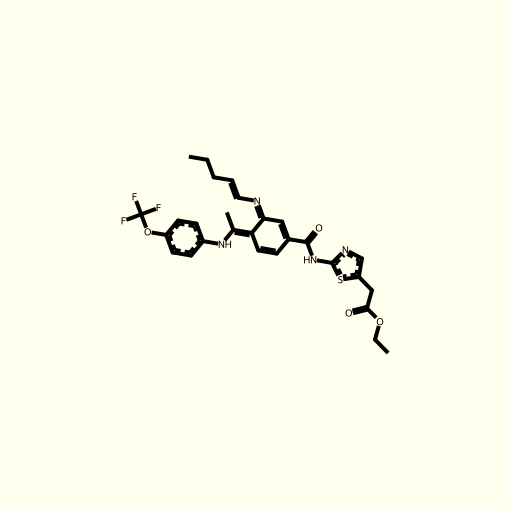 CCCC=C/N=C1/C=C(C(=O)Nc2ncc(CC(=O)OCC)s2)C=C/C1=C(/C)Nc1ccc(OC(F)(F)F)cc1